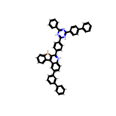 c1ccc(-c2ccc(-c3nc(-c4ccccc4)nc(-c4ccc(-c5nc6ccc(-c7cccc(-c8ccccc8)c7)cc6c6c5sc5ccccc56)cc4)n3)cc2)cc1